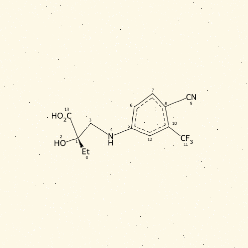 CC[C@](O)(CNc1ccc(C#N)c(C(F)(F)F)c1)C(=O)O